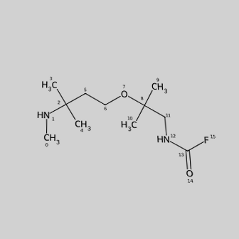 CNC(C)(C)CCOC(C)(C)CNC(=O)F